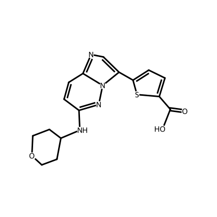 O=C(O)c1ccc(-c2cnc3ccc(NC4CCOCC4)nn23)s1